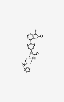 CN(C)[C@]1(c2cccs2)CC[C@]2(CC1)CN(c1cnc(-c3cccc4c3CC(=O)N4)nc1)C(=O)N2